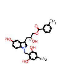 CCCCc1cc(O)c(Cn2cc(C[C@H](O)COC(=O)c3cccc(C)c3)c3cc(O)ccc32)c(O)c1